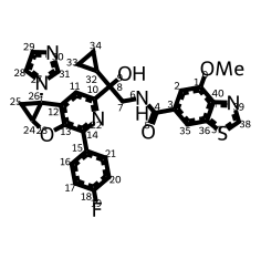 COc1cc(C(=O)NCC(O)(c2cc3c(c(-c4ccc(F)cc4)n2)OC2C[C@@]32n2ccnc2)C2CC2)cc2scnc12